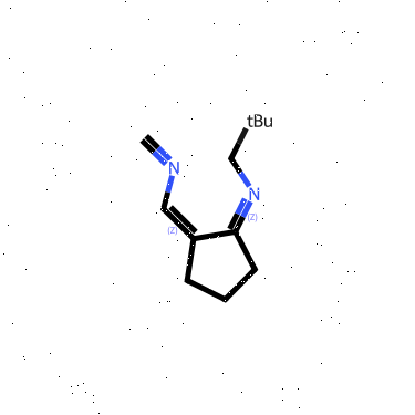 C=N/C=C1/CCC/C1=N/CC(C)(C)C